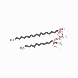 CCCCCCCCCCCCCCCCCC[Si](OC)(OC)OC.CCCCCCCCCCCC[Si](C)(OC)OC